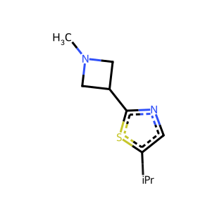 CC(C)c1cnc(C2CN(C)C2)s1